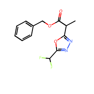 CC(C(=O)OCc1ccccc1)c1nnc(C(F)F)o1